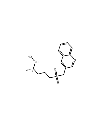 C[C@@H](CCCS(=O)(=O)Cc1cnc2ccccc2c1)NO